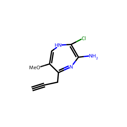 C#CCC1=NC(N)=C(Cl)NC=C1OC